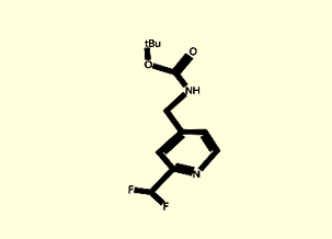 CC(C)(C)OC(=O)NCc1ccnc(C(F)F)c1